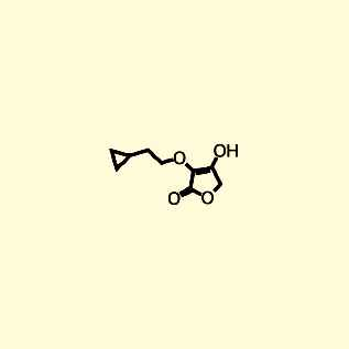 O=C1OCC(O)=C1OCCC1CC1